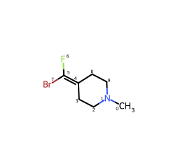 CN1CCC(=C(F)Br)CC1